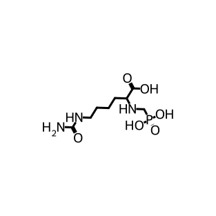 NC(=O)NCCCCC(NCP(=O)(O)O)C(=O)O